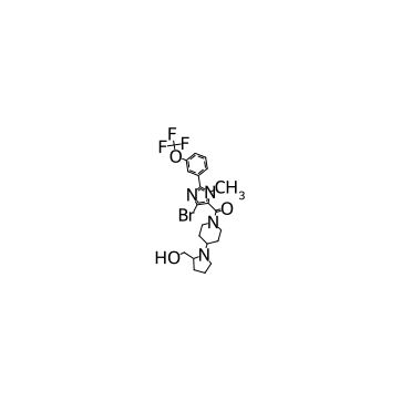 Cn1c(-c2cccc(OC(F)(F)F)c2)nc(Br)c1C(=O)N1CCC(N2CCCC2CO)CC1